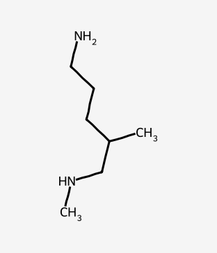 CNCC(C)CCCN